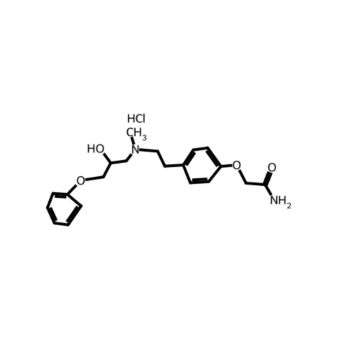 CN(CCc1ccc(OCC(N)=O)cc1)CC(O)COc1ccccc1.Cl